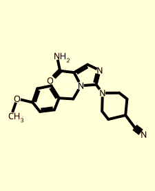 COc1ccc(Cn2c(C(N)=O)cnc2N2CCC(C#N)CC2)cc1